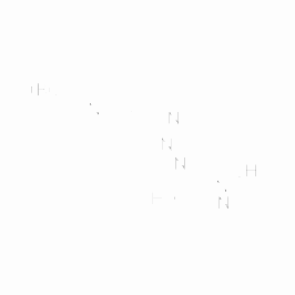 Cc1cnn(C)c1-c1ccc(NC2CC3(CCN(CCC(C)(C)C)CC3)C2)nn1